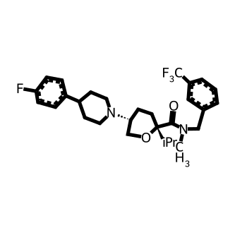 CC(C)[C@]1(C(=O)N(C)Cc2cccc(C(F)(F)F)c2)CC[C@@H](N2CCC(c3ccc(F)cc3)CC2)CO1